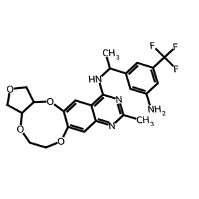 Cc1nc(NC(C)c2cc(N)cc(C(F)(F)F)c2)c2cc3c(cc2n1)OCCOC1COCC1O3